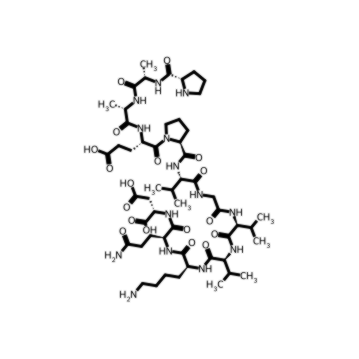 CC(C)[C@H](NC(=O)CNC(=O)[C@@H](NC(=O)[C@@H]1CCCN1C(=O)[C@H](CCC(=O)O)NC(=O)[C@H](C)NC(=O)[C@H](C)NC(=O)[C@@H]1CCCN1)C(C)C)C(=O)N[C@H](C(=O)N[C@@H](CCCCN)C(=O)N[C@@H](CCC(N)=O)C(=O)N[C@@H](CC(=O)O)C(=O)O)C(C)C